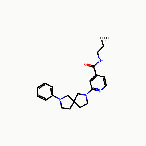 O=C(O)CCNC(=O)c1ccnc(N2CCC3(CCN(c4ccccc4)C3)C2)c1